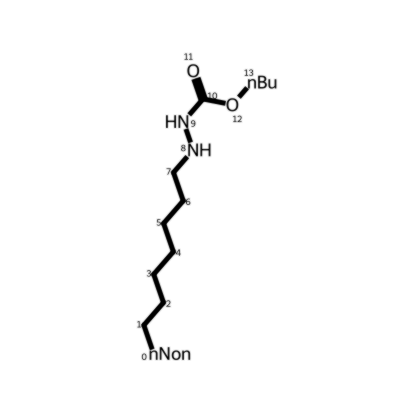 CCCCCCCCCCCCCCCCNNC(=O)OCCCC